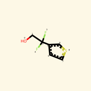 OCC(F)(F)c1ccsc1